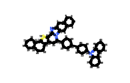 c1ccc2cc3c(cc2c1)nc1c2sc4c5ccccc5ccc4c2cc(-c2ccc(-c4ccc(-n5c6ccccc6c6ccccc65)cc4)cc2)n31